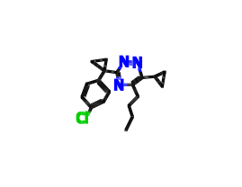 CCCCc1nc(C2(c3ccc(Cl)cc3)CC2)nnc1C1CC1